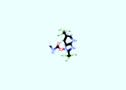 CNC(=O)On1c(C(F)(F)F)nc2ncc(C(F)(F)F)cc21